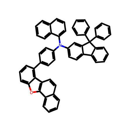 c1ccc(C2(c3ccccc3)c3ccccc3-c3ccc(N(c4ccc(-c5cccc6oc7c8ccccc8ccc7c56)cc4)c4cccc5ccccc45)cc32)cc1